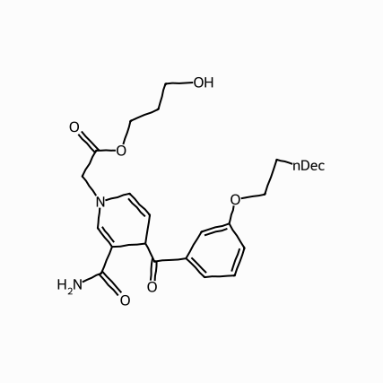 CCCCCCCCCCCCOc1cccc(C(=O)C2C=CN(CC(=O)OCCCO)C=C2C(N)=O)c1